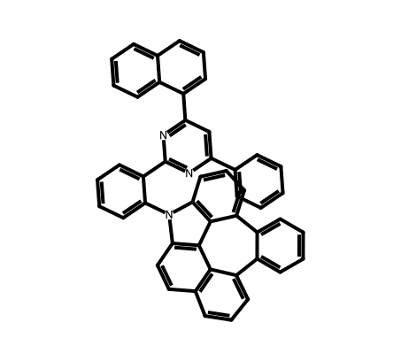 c1ccc(-c2cc(-c3cccc4ccccc34)nc(-c3ccccc3-n3c4cccc5c4c4c6c(cccc6ccc43)-c3ccccc3-5)n2)cc1